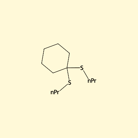 CCCSC1(SCCC)CCCCC1